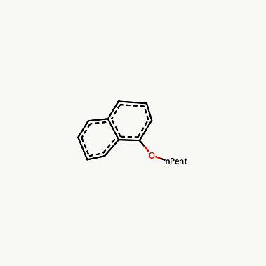 [CH2]CCCCOc1cccc2ccccc12